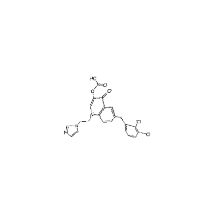 O=C(O)Oc1cn(CCn2ccnc2)c2ccc(Cc3cccc(Cl)c3Cl)cc2c1=O